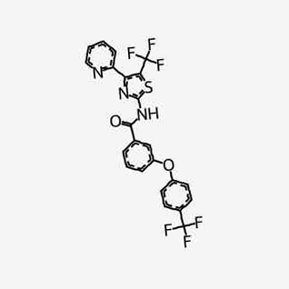 O=C(Nc1nc(-c2ccccn2)c(C(F)(F)F)s1)c1cccc(Oc2ccc(C(F)(F)F)cc2)c1